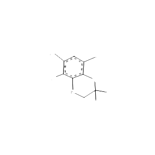 Cc1cc(F)c2c(c1C)NCC(F)(F)O2